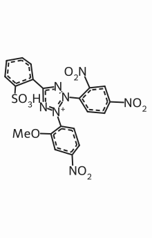 COc1cc([N+](=O)[O-])ccc1-[n+]1nc(-c2ccccc2S(=O)(=O)O)nn1-c1ccc([N+](=O)[O-])cc1[N+](=O)[O-]